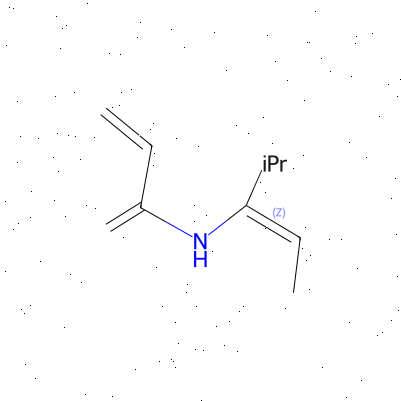 C=CC(=C)N/C(=C\C)C(C)C